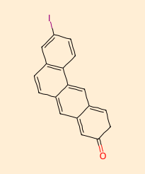 O=C1C=c2cc3ccc4cc(I)ccc4c3cc2=CC1